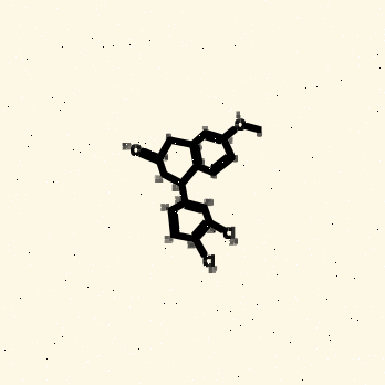 COc1ccc2c(c1)CC(=O)CC2c1ccc(Cl)c(Cl)c1